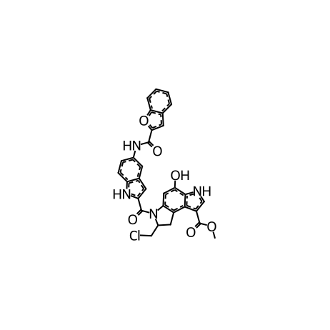 COC(=O)c1c[nH]c2c(O)cc3c(c12)CC(CCl)N3C(=O)c1cc2cc(NC(=O)c3cc4ccccc4o3)ccc2[nH]1